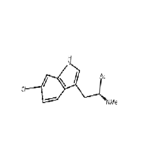 CN[C@@H](Cc1c[nH]c2cc(Cl)ccc12)C(C)=O